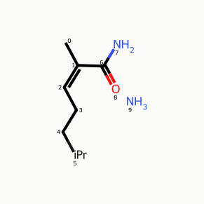 CC(=CCCC(C)C)C(N)=O.N